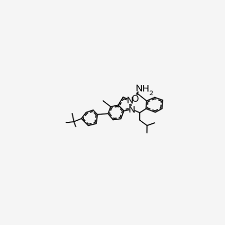 Cc1c(-c2ccc(C(C)(C)C)cc2)ccc2c1cnn2C(CC(C)C)c1ccccc1C(N)=O